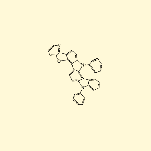 c1ccc(-n2c3ccccc3c3c2ccc2c4c5oc6cccnc6c5ccc4n(-c4ccccc4)c23)cc1